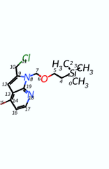 C[Si](C)(C)CCOCn1c(CCl)cc2c(Br)ccnc21